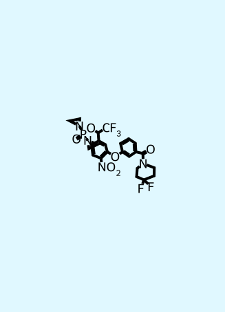 O=C(c1cccc(Oc2cc(C(OP(=O)(N3CC3)N3CC3)C(F)(F)F)ccc2[N+](=O)[O-])c1)N1CCC(F)(F)CC1